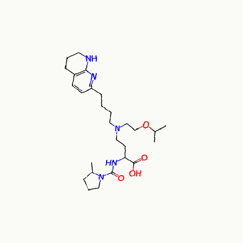 CC(C)OCCN(CCCCc1ccc2c(n1)NCCC2)CCC(NC(=O)N1CCCC1C)C(=O)O